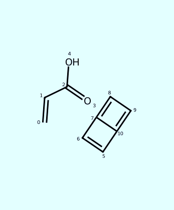 C=CC(=O)O.c1cc2ccc1-2